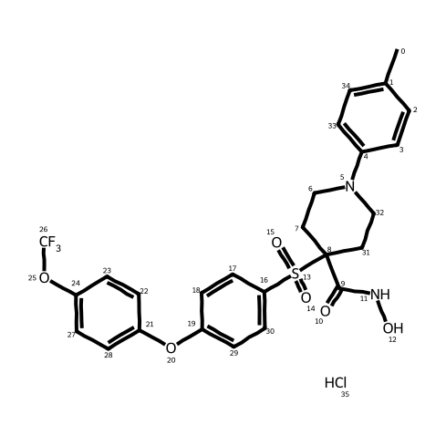 Cc1ccc(N2CCC(C(=O)NO)(S(=O)(=O)c3ccc(Oc4ccc(OC(F)(F)F)cc4)cc3)CC2)cc1.Cl